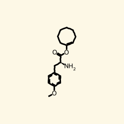 COc1ccc(C[C@H](N)C(=O)O/C2=C/CCCCCC2)cc1